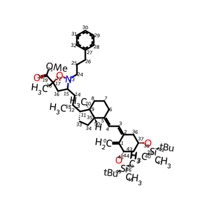 C=C1/C(=C\C=C2/CCC[C@]3(C)[C@@H]([C@H](C)CC4CC(C)(C(=O)OC)ON4CCCc4ccccc4)CC[C@@H]23)C[C@@H](O[Si](C)(C)C(C)(C)C)C[C@@H]1O[Si](C)(C)C(C)(C)C